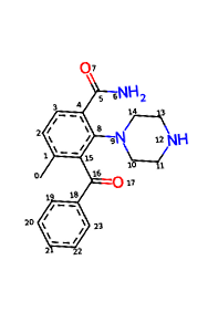 Cc1ccc(C(N)=O)c(N2CCNCC2)c1C(=O)c1ccccc1